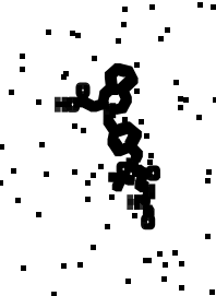 CC(C)(C)ON(Cc1ccc(CN2CCc3ccccc3CC2CC(=O)O)cc1)C(=O)C=NNC=O